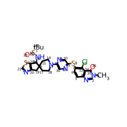 Cn1cnc2ccc(Sc3cnc(N4CCC5(CC4)Cc4ncsc4[C@H]5N[S@+]([O-])C(C)(C)C)cn3)c(Cl)c2c1=O